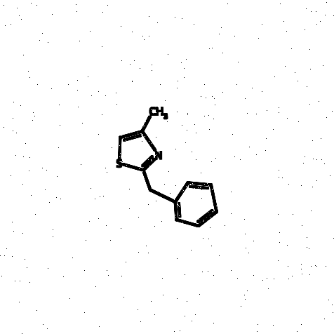 Cc1csc(Cc2ccccc2)n1